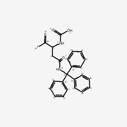 O=C(O)NC(CC(=O)NC(c1ccccc1)(c1ccccc1)c1ccccc1)C(=O)F